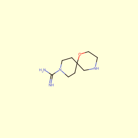 N=C(N)N1CCC2(CC1)CNCCO2